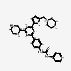 O=C(Nc1ccncc1)Nc1ccc(-c2nc(-c3ccc(CN4CCOCC4)s3)nc(C3CNCCO3)n2)cc1